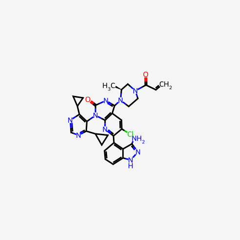 C=CC(=O)N1CCN(c2nc(=O)n(-c3c(C4CC4)ncnc3C3CC3)c3nc(-c4cccc5[nH]nc(N)c45)c(Cl)cc23)[C@@H](C)C1